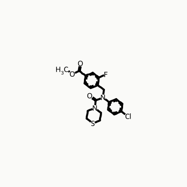 COC(=O)c1ccc(CN(C(=O)N2CCSCC2)c2ccc(Cl)cc2)c(F)c1